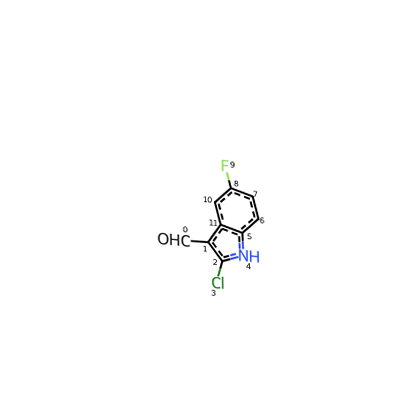 O=Cc1c(Cl)[nH]c2ccc(F)cc12